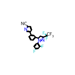 N#Cc1ccc(-c2cccc(C3CC(C(F)(F)C(F)(F)F)=NN3c3ccc(F)cc3F)c2)cn1